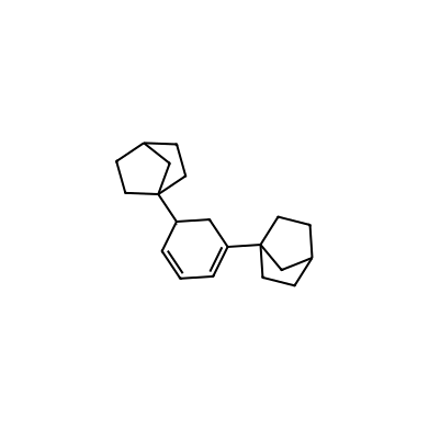 C1=C[C](C23CCC(CC2)C3)CC(C23CCC(CC2)C3)=C1